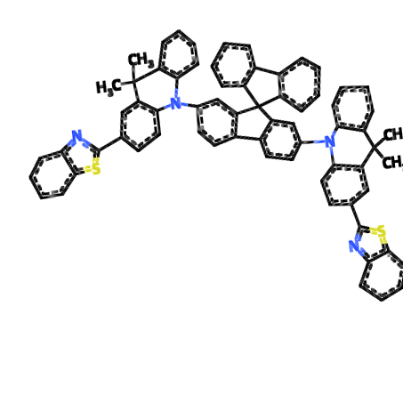 CC1(C)c2ccccc2N(c2ccc3c(c2)C2(c4ccccc4-c4ccccc42)c2cc(N4c5ccccc5C(C)(C)c5cc(-c6nc7ccccc7s6)ccc54)ccc2-3)c2ccc(-c3nc4ccccc4s3)cc21